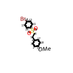 COc1ccc(CCS(=O)(=O)c2ccc(Br)cc2)cc1